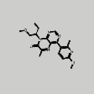 CC[C@H](COC)n1c(=O)c(C)nc2c(-c3ccc(OC)nc3C)ncnc21